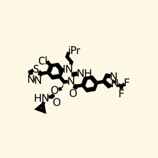 CC(C)CCNC(=N)N(C(=O)c1ccc(-c2cnn(C(F)F)c2)cc1)[C@H](COC(=O)NC1CC1)c1ccc(Cl)c(-c2nncs2)c1